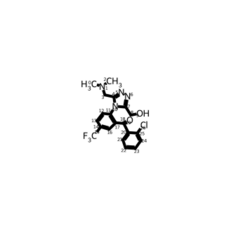 CN(C)Cc1nnc(CO)n1-c1ccc(C(F)(F)F)cc1C(=O)c1ccccc1Cl